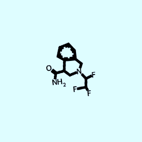 NC(=O)C1CN(C(F)C(F)F)Cc2ccccc21